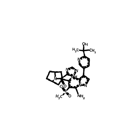 CC(C)(O)c1ccc(-c2cnn3c(N)c(S(C)(=O)=O)c(C4CC5CCC(C4)N5C(=O)c4ncn[nH]4)nc23)cn1